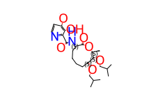 COc1ccnc(C(=O)N[C@H]2CCCC[C@H](OCC(C)C)[C@@H](OCC(C)C)[C@H](C)OC2=O)c1O